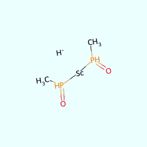 C[PH](=O)[Sc][PH](C)=O.[H-]